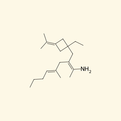 CCC/C=C(\C)C/C(CC1(CC)CC(=C(C)C)C1)=C(\C)N